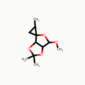 COC1OC2(CC2C)C2OC(C)(C)OC12